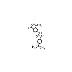 Cc1noc(=O)c2ccc(NC(=O)C(=O)c3ccc(N(C)C)cc3)cc12